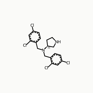 Clc1ccc(CN(Cc2ccc(Cl)cc2Cl)[C@H]2CCNC2)c(Cl)c1